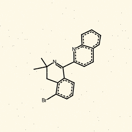 CC1(C)Cc2c(Br)cccc2C(c2ccc3ccccc3n2)=N1